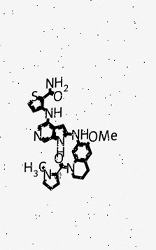 COc1cc2c(cc1Nc1cc3c(Nc4ccsc4C(N)=O)cncc3[nH]1)N(C(=O)[C@H]1CCCN1C)CCC2